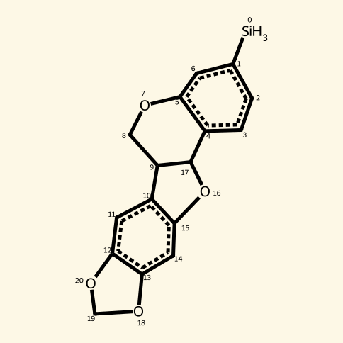 [SiH3]c1ccc2c(c1)OCC1c3cc4c(cc3OC21)OCO4